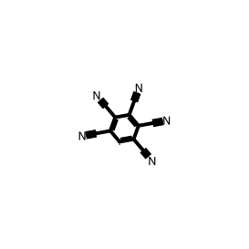 N#Cc1[c]c(C#N)c(C#N)c(C#N)c1C#N